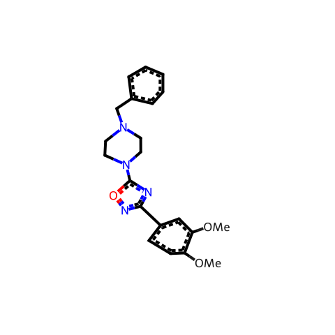 COc1ccc(-c2noc(N3CCN(Cc4ccccc4)CC3)n2)cc1OC